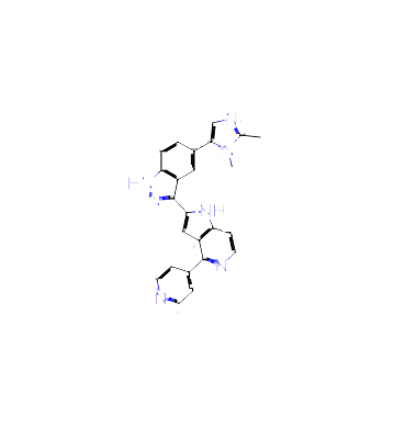 Cc1ncc(-c2ccc3[nH]nc(-c4cc5c(-c6ccncc6)nccc5[nH]4)c3c2)n1C